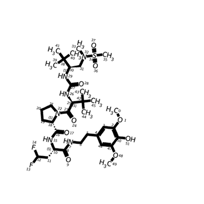 COc1cc(CCNC(=O)[C@H](CC(F)F)NC(=O)[C@@H]2CCCN2C(=O)[C@@H](NC(=O)N[C@H](CN(C)S(C)(=O)=O)C(C)(C)C)C(C)(C)C)cc(OC)c1O